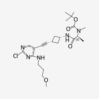 COCCCNc1nc(Cl)ncc1C#C[C@H]1C[C@@H](NC(=O)[C@H](C)N(C)C(=O)OC(C)(C)C)C1